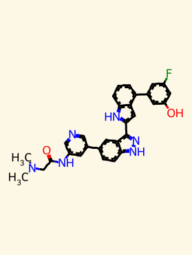 CN(C)CC(=O)Nc1cncc(-c2ccc3[nH]nc(-c4cc5c(-c6cc(O)cc(F)c6)cccc5[nH]4)c3c2)c1